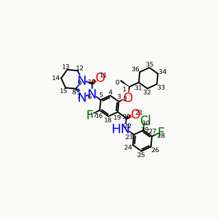 C[C@H](Oc1cc(-n2nc3n(c2=O)CCCC3)c(F)cc1C(=O)Nc1cccc(F)c1Cl)C1CCCCC1